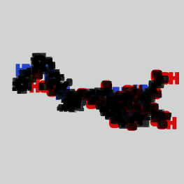 Cc1c(-c2ccc(N3CCc4cccc(C(=O)Nc5nc6ccccc6s5)c4C3)nc2C(=O)O)cnn1CC12CC3(C)CC(C)(C1)CC(OCCN(CCC(N)=O)C(=O)OCc1ccc(NC(=O)[C@H](C)NC(=O)[C@@H](NC(=O)CN4C(=O)[C@@H](NC(=O)CCC(=O)O)C[C@H]4COCCS(=O)(=O)O)C(C)C)cc1CC[C@@H]1O[C@H](C(=O)O)[C@@H](O)[C@H](O)[C@H]1O)(C3)C2